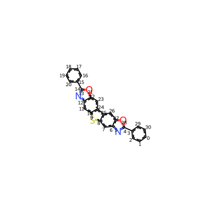 c1ccc(-c2nc3cc4sc5cc6nc(-c7ccccc7)oc6cc5c4cc3o2)cc1